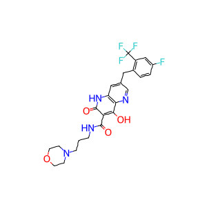 O=C(NCCCN1CCOCC1)c1c(O)c2ncc(Cc3ccc(F)cc3C(F)(F)F)cc2[nH]c1=O